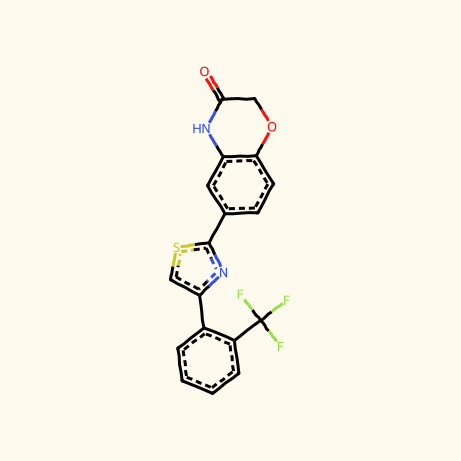 O=C1COc2ccc(-c3nc(-c4ccccc4C(F)(F)F)cs3)cc2N1